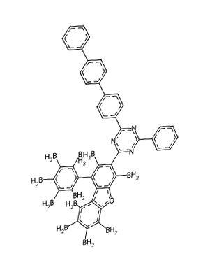 Bc1c(B)c(B)c(-c2c(B)c(-c3nc(-c4ccccc4)nc(-c4ccc(-c5ccc(-c6ccccc6)cc5)cc4)n3)c(B)c3oc4c(B)c(B)c(B)c(B)c4c23)c(B)c1B